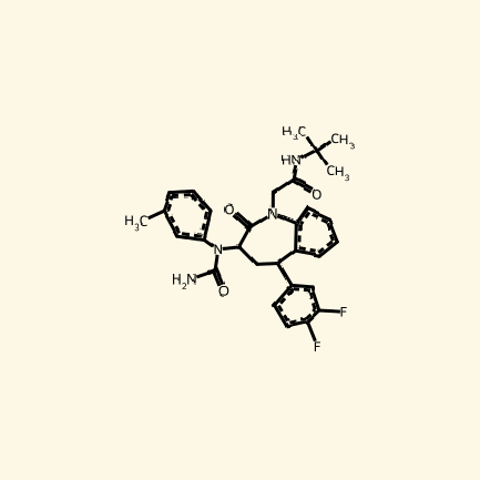 Cc1cccc(N(C(N)=O)C2CC(c3ccc(F)c(F)c3)c3ccccc3N(CC(=O)NC(C)(C)C)C2=O)c1